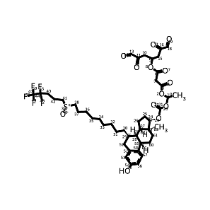 CC(OC(=O)CC(=O)OC(CC(=O)C=O)CC(=O)C=O)OC(=O)O[C@H]1CC[C@H]2[C@@H]3[C@H](CCCCCCCCC[S+]([O-])CCCC(F)(F)C(F)(F)F)Cc4cc(O)ccc4[C@H]3CC[C@]12C